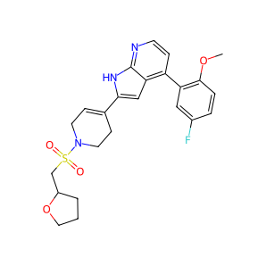 COc1ccc(F)cc1-c1ccnc2[nH]c(C3=CCN(S(=O)(=O)CC4CCCO4)CC3)cc12